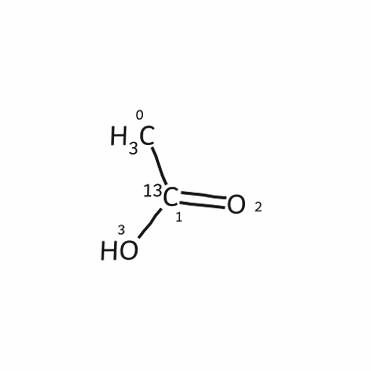 C[13C](=O)O